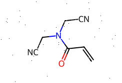 C=CC(=O)N(CC#N)CC#N